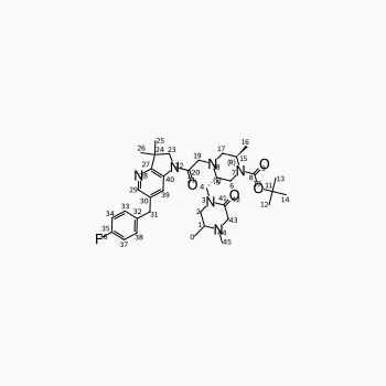 CC1CN(C[C@H]2CN(C(=O)OC(C)(C)C)[C@H](C)CN2CC(=O)N2CC(C)(C)c3ncc(Cc4ccc(F)cc4)cc32)C(=O)CN1C